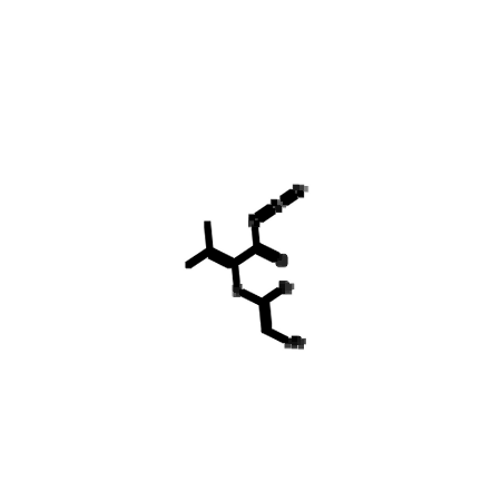 CCC/C=C(\Br)SC(C(=O)N=[N+]=[N-])=C(C)C